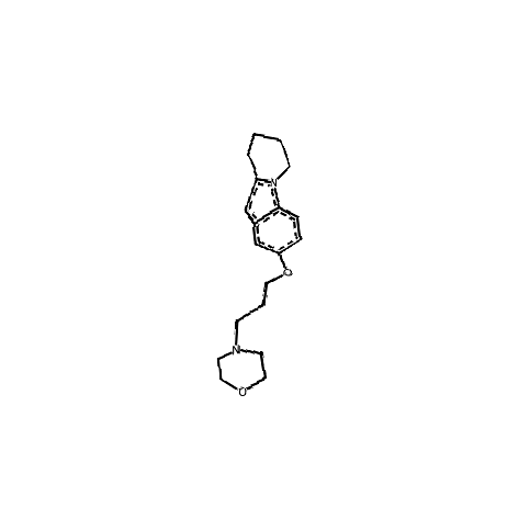 c1cc2c(cc1OCCCN1CCOCC1)cc1n2CCCC1